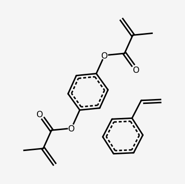 C=C(C)C(=O)Oc1ccc(OC(=O)C(=C)C)cc1.C=Cc1ccccc1